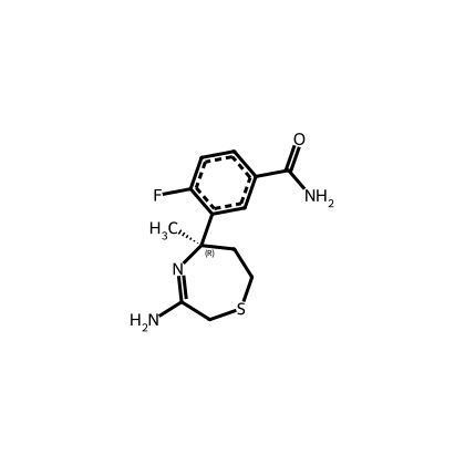 C[C@]1(c2cc(C(N)=O)ccc2F)CCSCC(N)=N1